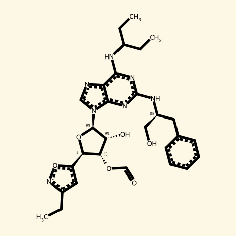 CCc1cc([C@H]2O[C@@H](n3cnc4c(NC(CC)CC)nc(N[C@H](CO)Cc5ccccc5)nc43)[C@H](O)[C@@H]2OC=O)on1